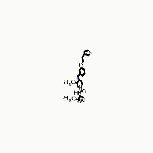 Cc1oncc1NC(=O)N1CC/C(=C\c2cccc(OCCc3ccsc3)c2)C(C)C1